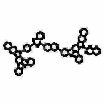 c1ccc2cc3c(cc2c1)c1cc2c4ccccc4n4c5ccccc5c(c1n3-c1ccc(-c3nc(-c5ccc6cc(-c7ccc8c(c7)c7cc9c%10cc%11ccccc%11cc%10n(-c%10ncc%11cccnc%11n%10)c9c9c%10ccccc%10n8c79)ccc6c5)c5ccccc5n3)cc1)c24